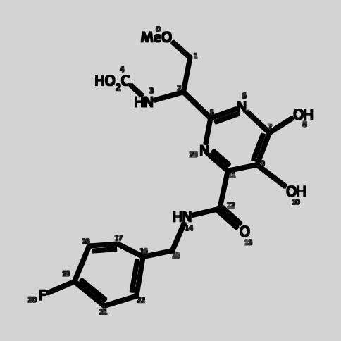 COCC(NC(=O)O)c1nc(O)c(O)c(C(=O)NCc2ccc(F)cc2)n1